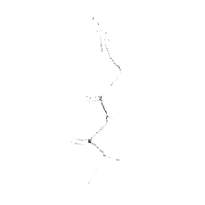 CN(C)C(=O)NC(=O)CC#N